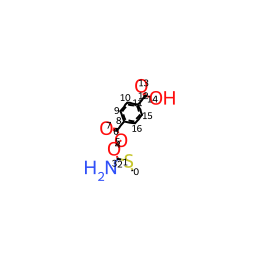 CSC(N)OOC(=O)c1ccc(C(=O)O)cc1